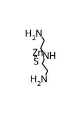 NCCNCCN.[S]=[Zn]